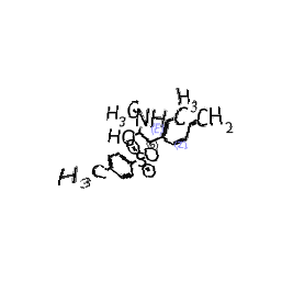 C=C/C=C\C(=C/C)[C@H](OS(=O)(=O)c1ccc(C)cc1)C(O)NC